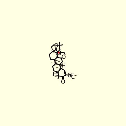 [C-]#[N+]C1=C[C@]2(C)[C@H]3CC(=O)[C@]45[C@@H]6CC(C)(C)CC[C@@]6(CC[C@@]4(C)[C@]3(C)CC[C@H]2C(C)(C)C1=O)C(=O)N5CC